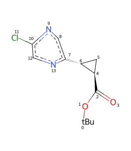 CC(C)(C)OC(=O)[C@@H]1C[C@H]1c1cnc(Cl)cn1